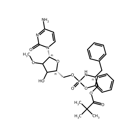 COC1C(O)[C@@H](COP(=O)(N[C@H](COC(=O)C(C)(C)C)Cc2ccccc2)Oc2ccccc2)O[C@H]1n1ccc(N)nc1=O